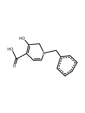 O=C(O)C1=C(O)CN(Cc2ccccc2)C=C1